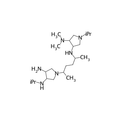 CC(C)NC1CN(C(C)CCC(C)NC2CN(C(C)C)CC2N(C)C)CC1N